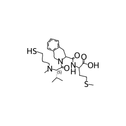 CSCCC(NC(=O)C1Cc2ccccc2CN1C(=O)[C@H](C(C)C)N(C)CCCS)C(=O)O